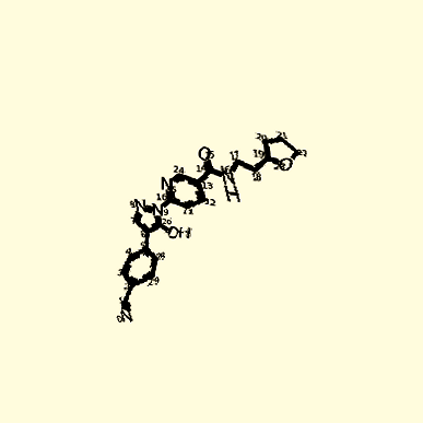 N#Cc1ccc(-c2cnn(-c3ccc(C(=O)NCCC4CCCO4)cn3)c2O)cc1